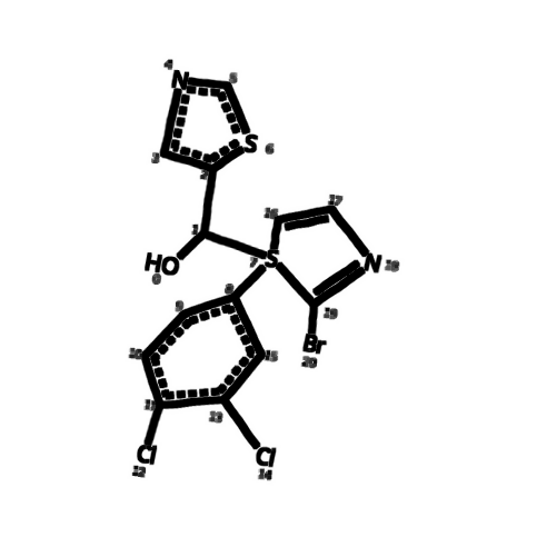 OC(c1cncs1)S1(c2ccc(Cl)c(Cl)c2)C=CN=C1Br